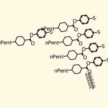 CCCCCC1CCC(C(=O)Oc2ccc([S])cc2)CC1.CCCCCC1CCC(C(=O)Oc2ccc([S])cc2)CC1.CCCCCC1CCC(C(=O)Oc2ccc([S])cc2)CC1.CCCCCC1CCC(C(=O)Oc2ccc([S])cc2)CC1.CCCCCC1CCC(C(=O)Oc2ccc([S])cc2)CC1.F.F.F.F.F